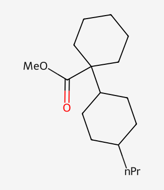 CCCC1CCC(C2(C(=O)OC)CCCCC2)CC1